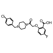 O=C(O)c1cc(F)ccc1OCC(=O)N1CCN(Cc2ccc(Cl)cc2)CC1